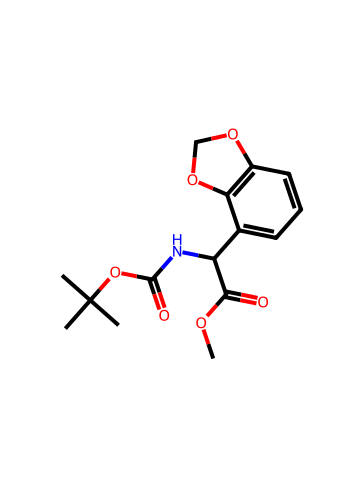 COC(=O)C(NC(=O)OC(C)(C)C)c1cccc2c1OCO2